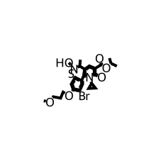 COCCCOc1cc2c(cc1Br)-c1c(cc(C(=O)OC(C)C)c(=O)n1C1CC1)C(C)N(O)S2